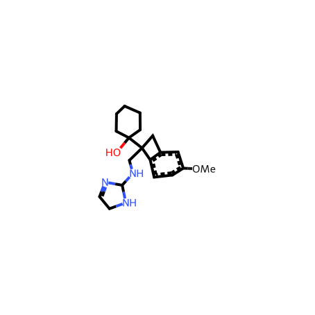 COc1ccc2c(c1)CC2(CNC1N=CCN1)C1(O)CCCCC1